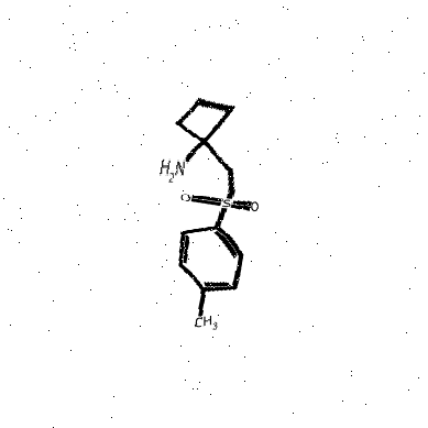 Cc1ccc(S(=O)(=O)CC2(N)CCC2)cc1